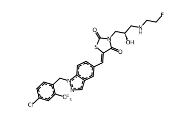 O=C1S/C(=C\c2ccc3c(cnn3Cc3ccc(Cl)cc3C(F)(F)F)c2)C(=O)N1C[C@H](O)CNCCF